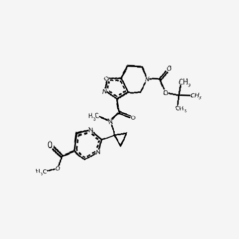 COC(=O)c1cnc(C2(N(C)C(=O)c3noc4c3CN(C(=O)OC(C)(C)C)CC4)CC2)nc1